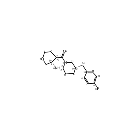 N[C@@H]1COCC[C@H]1C(=O)N1CCC[C@@H](Cc2ccc(F)cc2)C1